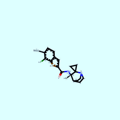 COc1ccc2cc(C(=O)N[C@H]3C4CCN(CC4)C34CC4)sc2c1F